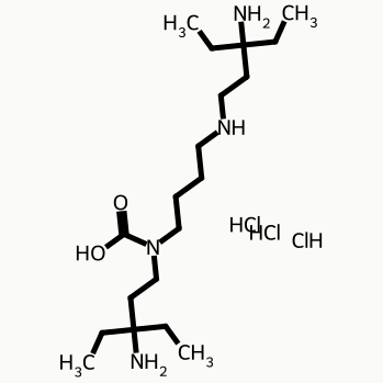 CCC(N)(CC)CCNCCCCN(CCC(N)(CC)CC)C(=O)O.Cl.Cl.Cl